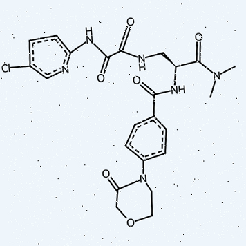 CN(C)C(=O)[C@H](CNC(=O)C(=O)Nc1ccc(Cl)cn1)NC(=O)c1ccc(N2CCOCC2=O)cc1